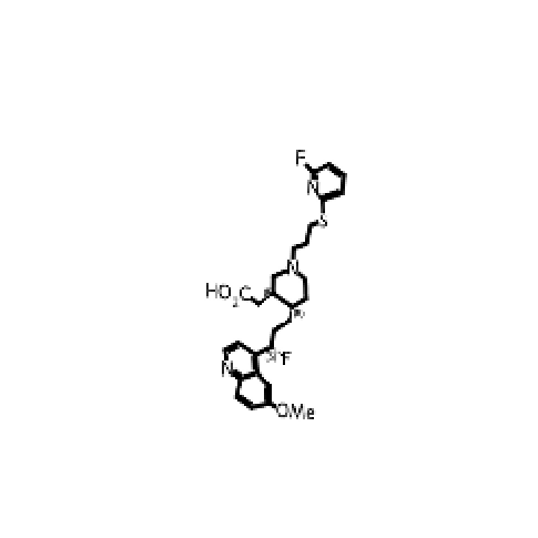 COc1ccc2nccc([C@@H](F)CC[C@@H]3CCN(CCCSc4cccc(F)n4)C[C@@H]3CC(=O)O)c2c1